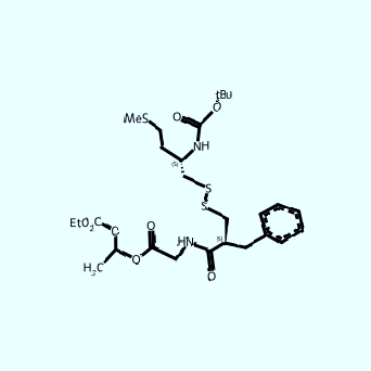 CCOC(=O)OC(C)OC(=O)CNC(=O)[C@@H](CSSC[C@H](CCSC)NC(=O)OC(C)(C)C)Cc1ccccc1